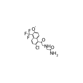 COc1ccc2c(C(=O)CNCC(N)=O)c(Cl)ccc2c1C(F)(F)F